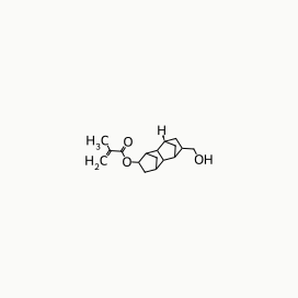 C=C(C)C(=O)OC1CC2CC1C1C2C2C[C@H]1CC2CO